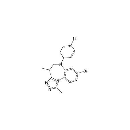 Cc1nnc2n1-c1ccc(Br)cc1N(C1C=CC(Cl)=CC1)CC2C